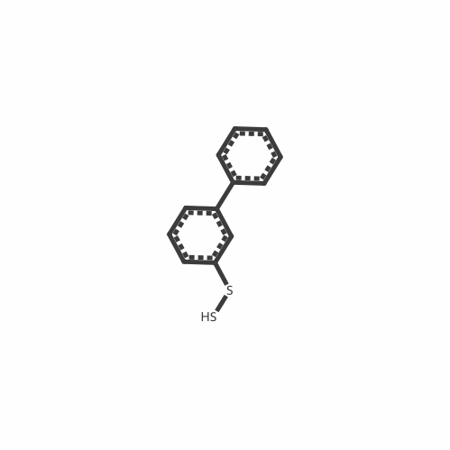 SSc1cccc(-c2ccccc2)c1